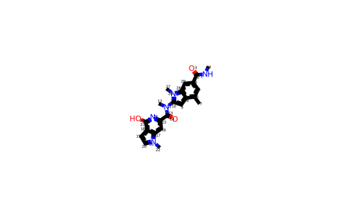 CNC(=O)c1cc(C)c2cc(N(C)C(=O)c3cc4c(ccn4C)c(O)n3)n(C)c2c1